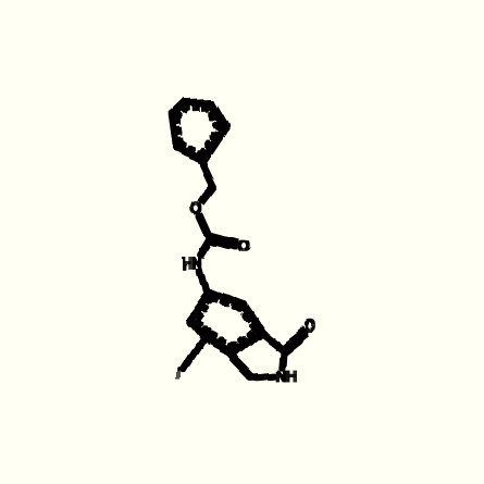 O=C(Nc1cc(I)c2c(c1)C(=O)NC2)OCc1ccccc1